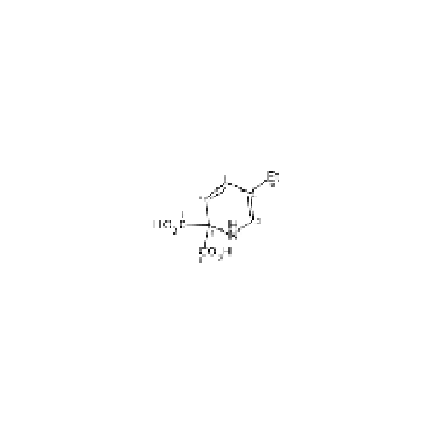 CCC1=CNC(C(=O)O)(C(=O)O)C=C1